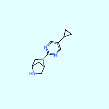 c1nc(N2CC3CC2CN3)ncc1C1CC1